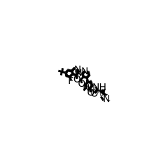 CN1CC[C@]2(C[C@@H]2C(=O)Nc2cc(-c3ccnc(-n4ncc5cc(C(C)(C)C)cc(F)c5c4=O)c3CO)cn(C)c2=O)C1